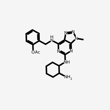 CC(=O)Oc1ccccc1CNc1nc(NC2CCCCC2N)nc2c1nnn2C